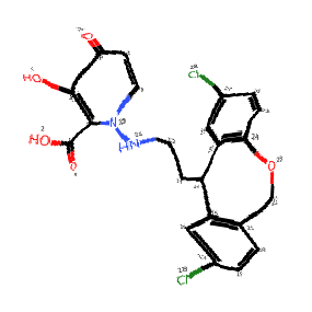 O=C(O)c1c(O)c(=O)ccn1NCCC1c2cc(Cl)ccc2COc2ccc(Cl)cc21